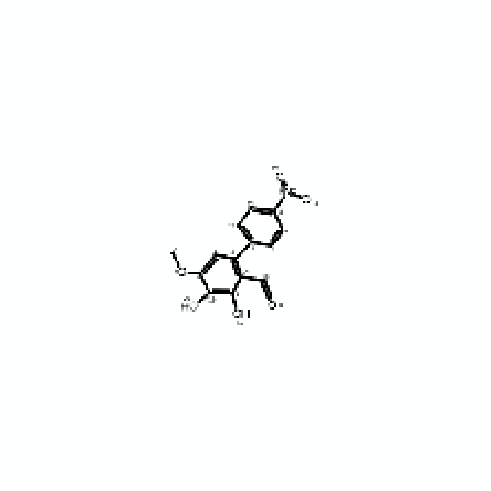 COc1cc(-c2ccc([N+](=O)[O-])cc2)c(C=O)c(O)c1O